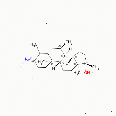 CC1=C2C[C@@H](C)[C@@H]3[C@H](CC[C@@]4(C)[C@H]3CC[C@]4(C)O)[C@@]2(C)CC/C1=N\O